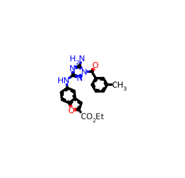 CCOC(=O)c1cc2cc(Nc3nc(N)n(C(=O)c4cccc(C)c4)n3)ccc2o1